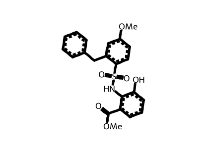 COC(=O)c1cccc(O)c1NS(=O)(=O)c1ccc(OC)cc1Cc1ccccc1